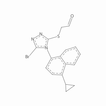 O=CCSc1nnc(Br)n1-c1ccc(C2CC2)c2ccccc12